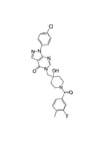 Cc1ccc(C(=O)N2CCC(O)(Cn3cnc4c(cnn4-c4ccc(Cl)cc4)c3=O)CC2)cc1F